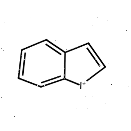 C1=Cc2ccccc2[I+]1